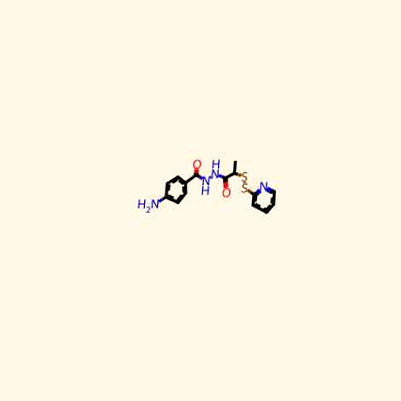 CC(SSc1ccccn1)C(=O)NNC(=O)c1ccc(N)cc1